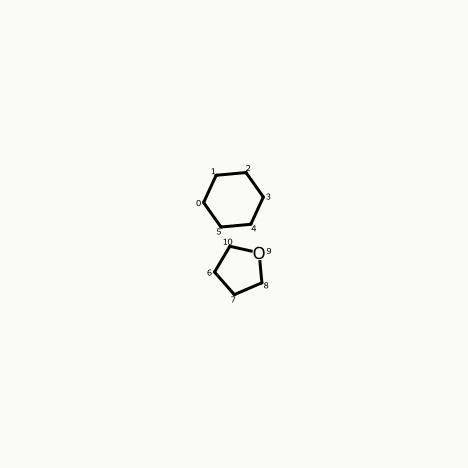 C1CCCCC1.C1CCOC1